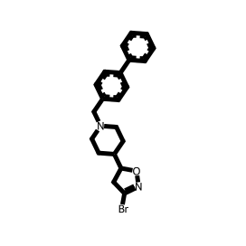 BrC1=NOC(C2CCN(Cc3ccc(-c4ccccc4)cc3)CC2)C1